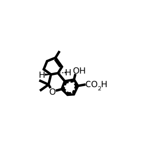 CC1=C[C@H]2c3c(ccc(C(=O)O)c3O)OC(C)(C)[C@@H]2CC1